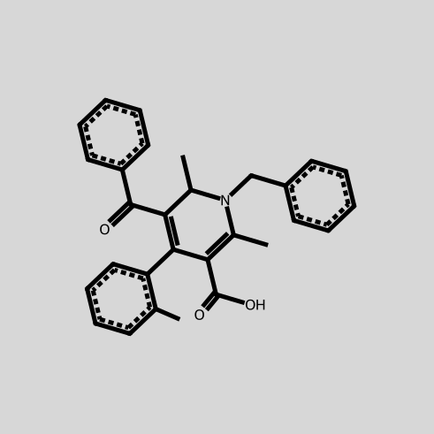 CC1=C(C(=O)O)C(c2ccccc2C)=C(C(=O)c2ccccc2)C(C)N1Cc1ccccc1